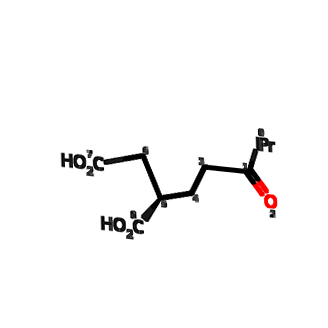 CC(C)C(=O)CC[C@H](CC(=O)O)C(=O)O